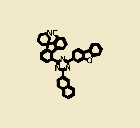 N#Cc1cccc2c1C1(CCCCC1)c1cccc(-c3nc(-c4ccc5ccccc5c4)nc(-c4ccc5c(c4)oc4ccccc45)n3)c1-2